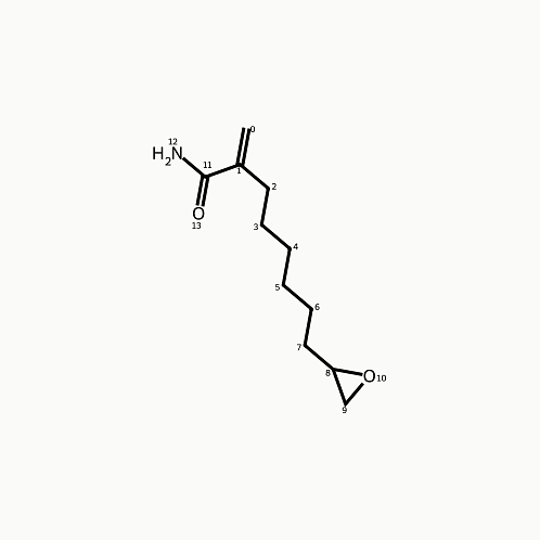 C=C(CCCCCCC1CO1)C(N)=O